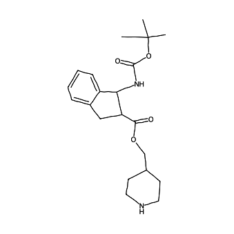 CC(C)(C)OC(=O)NC1c2ccccc2CC1C(=O)OCC1CCNCC1